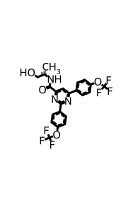 C[C@@H](CO)NC(=O)c1cc(-c2ccc(OC(F)(F)F)cc2)nc(-c2ccc(OC(F)(F)F)cc2)n1